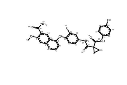 COc1cc2nccc(Oc3ccc(NC(=O)C4(C(=O)Nc5ccc(F)cc5)CC4)cc3F)c2cc1C(N)=O